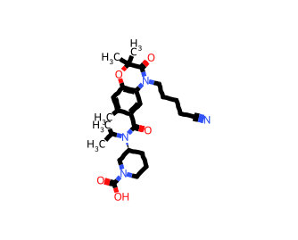 Cc1cc2c(cc1C(=O)N(C(C)C)[C@@H]1CCCN(C(=O)O)C1)N(CCCCC#N)C(=O)C(C)(C)O2